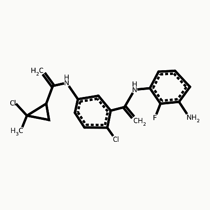 C=C(Nc1cccc(N)c1F)c1cc(NC(=C)C2CC2(C)Cl)ccc1Cl